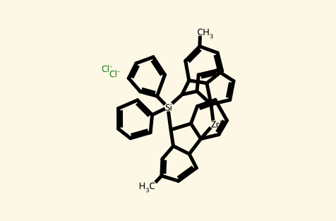 CC1=CC2C(C=C1)[C]13C=CC=CC1C2[Si](c1ccccc1)(c1ccccc1)C1C2C=C(C)C=CC2[C]2(C=CC=CC12)[Zr+2]3.[Cl-].[Cl-]